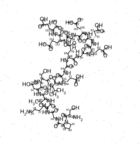 CC(C)[C@H](NC(=O)[C@H](CO)NC(=O)[C@H](CC(=O)O)NC(=O)[C@@H](NC(=O)[C@H](CCCCN)NC(=O)CNC(=O)[C@@H]1CCCN1C(=O)[C@@H](N)CO)C(C)C)C(=O)N[C@@H](CCC(=O)O)C(=O)NCC(=O)N[C@@H](CCC(=O)O)C(=O)NCC(=O)N[C@@H](CCC(=O)O)C(=O)N[C@@H](CCC(=O)O)C(=O)N[C@@H](CCC(=O)O)C(=O)NCC(=O)N[C@@H](CCC(=O)O)C(=O)N[C@@H](CCC(=O)O)C(=O)O